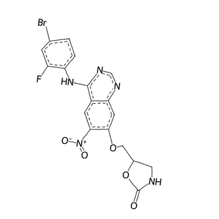 O=C1NCC(COc2cc3ncnc(Nc4ccc(Br)cc4F)c3cc2[N+](=O)[O-])O1